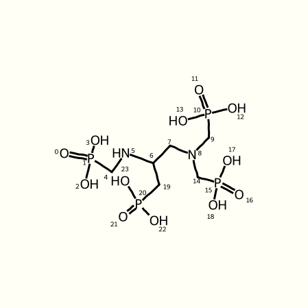 O=P(O)(O)CNC(CN(CP(=O)(O)O)CP(=O)(O)O)CP(=O)(O)O